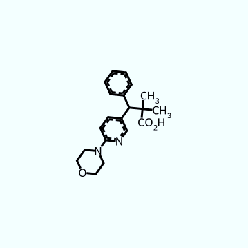 CC(C)(C(=O)O)C(c1ccccc1)c1ccc(N2CCOCC2)nc1